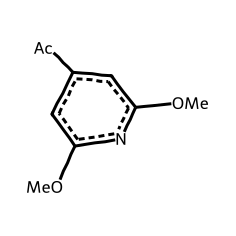 COc1cc(C(C)=O)cc(OC)n1